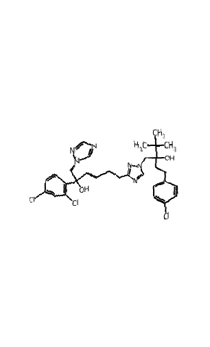 CC(C)(C)C(O)(CCc1ccc(Cl)cc1)Cn1cnc(CCCCC(O)(Cn2cncn2)c2ccc(Cl)cc2Cl)n1